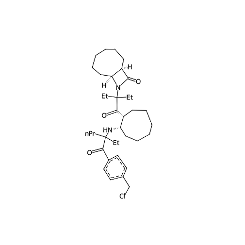 CCCC(CC)(N[C@H]1CCCCCC[C@H]1C(=O)C(CC)(CC)N1C(=O)[C@@H]2CCCCCC[C@@H]21)C(=O)c1ccc(CCl)cc1